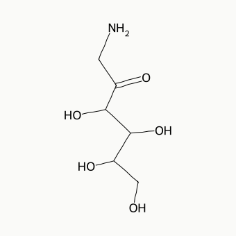 NCC(=O)C(O)C(O)C(O)CO